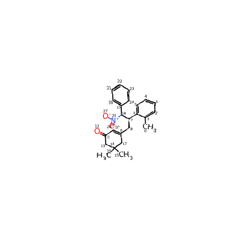 Cc1ccccc1[C@@H](CC1=CC(=O)CC(C)(C)C1)[C@H](c1ccccc1)[N+](=O)[O-]